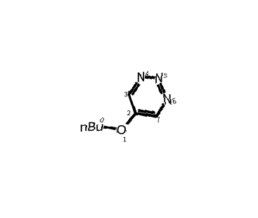 CCCCOc1[c]nnnc1